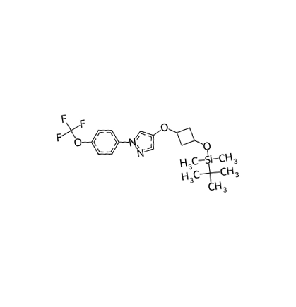 CC(C)(C)[Si](C)(C)OC1CC(Oc2cnn(-c3ccc(OC(F)(F)F)cc3)c2)C1